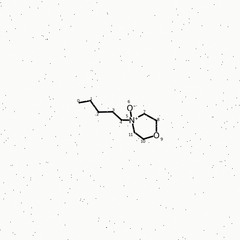 CCCCC[N+]1([O-])CCOCC1